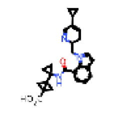 O=C(NC1(C23CC2(C(=O)O)C3)CC1)c1cccc2ccn(CC3CC=C(C4CC4)C=N3)c12